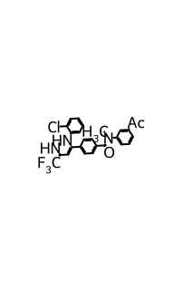 CC(=O)c1cccc(N(C)C(=O)c2ccc(/C(=C/C(=N)C(F)(F)F)Nc3ccccc3Cl)cc2)c1